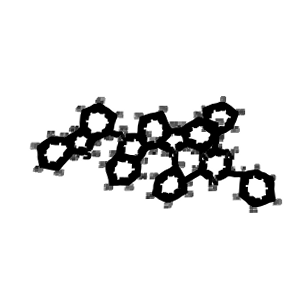 c1ccc(-c2nc(-c3ccccc3)nc(-c3ccccc3-n3c4ccccc4c4ccc5c(c6ccccc6n5-c5cccc6c5sc5ccccc56)c43)n2)cc1